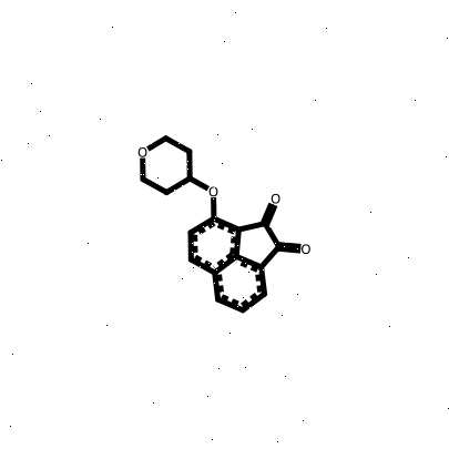 O=C1C(=O)c2c(OC3CCOCC3)ccc3cccc1c23